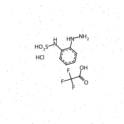 Cl.NNc1ccccc1NS(=O)(=O)O.O=C(O)C(F)(F)F